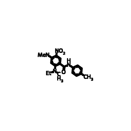 CCN(C)c1cc(NC)c([N+](=O)[O-])cc1C(=O)Nc1ccc(C)cc1